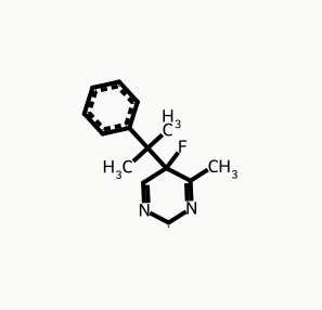 CC1=N[CH]N=CC1(F)C(C)(C)c1ccccc1